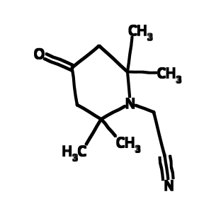 CC1(C)CC(=O)CC(C)(C)N1CC#N